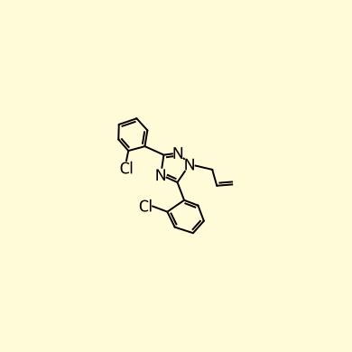 C=CCn1nc(-c2ccccc2Cl)nc1-c1ccccc1Cl